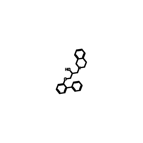 OC(COc1ccccc1-c1ccccc1)CN1CCc2ccccc2C1